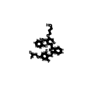 OCCCOc1cnc(-c2nn(Cc3c(F)cc(OCC(F)F)cc3F)c3ccccc23)nc1Nc1ccncc1Cl